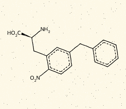 N[C@@H](Cc1cc(Cc2ccccc2)ccc1[N+](=O)[O-])C(=O)O